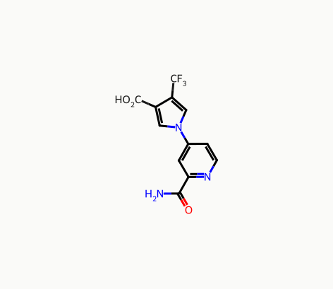 NC(=O)c1cc(-n2cc(C(=O)O)c(C(F)(F)F)c2)ccn1